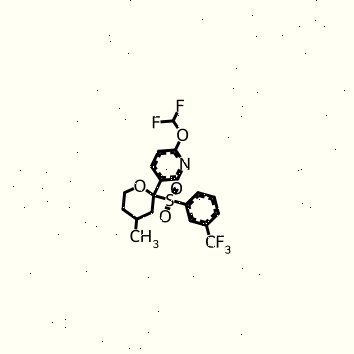 CC1CCOC(c2ccc(OC(F)F)nc2)(S(=O)(=O)c2cccc(C(F)(F)F)c2)C1